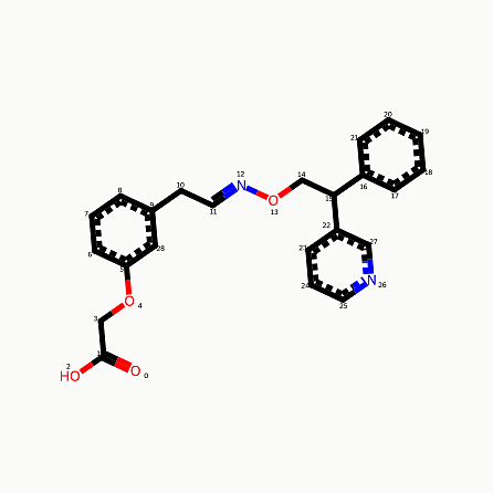 O=C(O)COc1cccc(CC=NOCC(c2ccccc2)c2cccnc2)c1